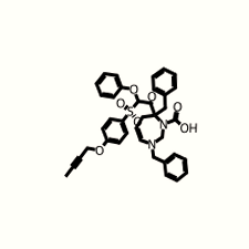 CC#CCOc1ccc(S(=O)(=O)C(Oc2ccccc2)C(=O)C2(Cc3ccccc3)CC=CN(Cc3ccccc3)CN2C(=O)O)cc1